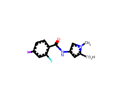 Cn1cc(NC(=O)c2ccc(I)cc2F)cc1C(=O)O